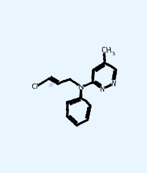 Cc1cnnc(N(C/C=C/Cl)c2ccccc2)c1